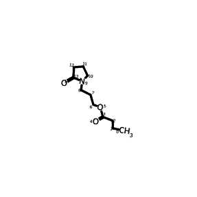 CCCC(=O)OCCCN1CCCC1=O